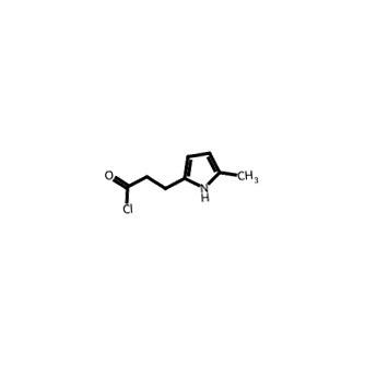 Cc1ccc(CCC(=O)Cl)[nH]1